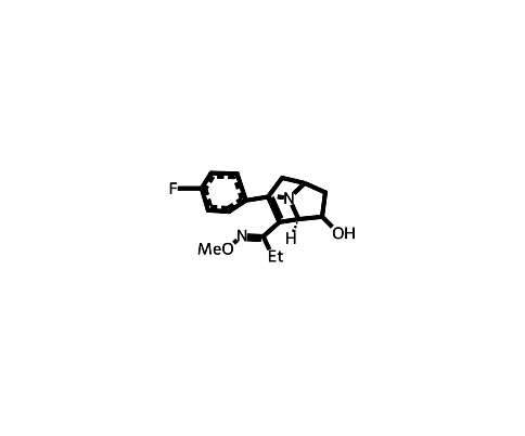 CCC(=NOC)C1=C(c2ccc(F)cc2)CC2CC(O)[C@@H]1N2C